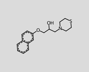 OC(COc1ccc2ccccc2c1)CN1CCSCC1